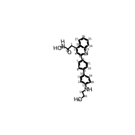 O=C(Cc1cc(-c2ccc(-c3ccc(NCCO)cc3)cc2)nc2ccccc12)NO